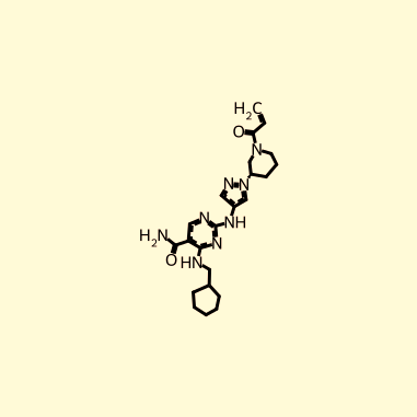 C=CC(=O)N1CCC[C@@H](n2cc(Nc3ncc(C(N)=O)c(NCC4CCCCC4)n3)cn2)C1